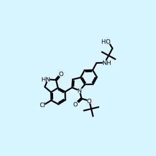 CC(C)(CO)NCc1ccc2c(c1)cc(-c1ccc(Cl)c3c1C(=O)NC3)n2C(=O)OC(C)(C)C